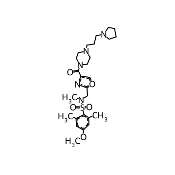 COc1cc(C)c(S(=O)(=O)N(C)Cc2nc(C(=O)N3CCN(CCCN4CCCC4)CC3)co2)c(C)c1